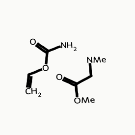 C=COC(N)=O.CNCC(=O)OC